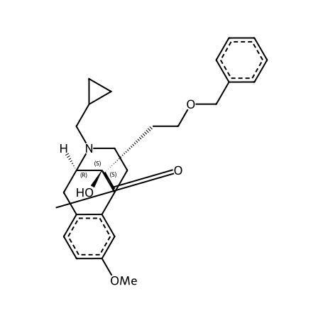 COc1ccc2c(c1)C13CCN(CC4CC4)[C@H](C2)[C@]1(O)C[C@H](CCOCc1ccccc1)C(=O)C3